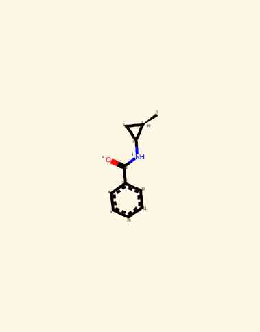 C[C@@H]1CC1NC(=O)c1ccccc1